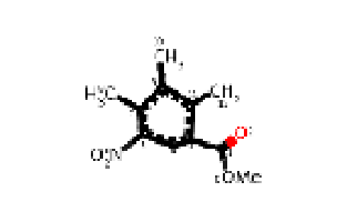 COC(=O)c1cc([N+](=O)[O-])c(C)c(C)c1C